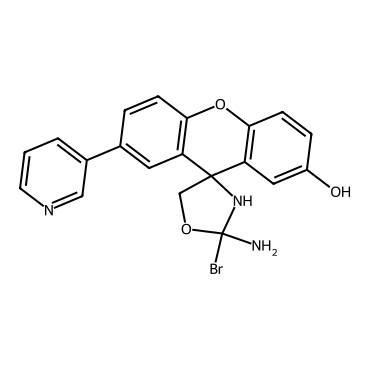 NC1(Br)NC2(CO1)c1cc(O)ccc1Oc1ccc(-c3cccnc3)cc12